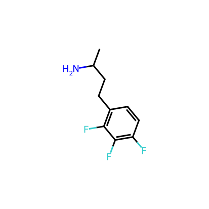 CC(N)CCc1ccc(F)c(F)c1F